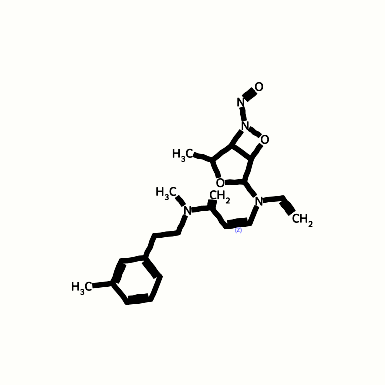 C=CN(/C=C\C(=C)N(C)CCc1cccc(C)c1)C1OC(C)C2C1ON2N=O